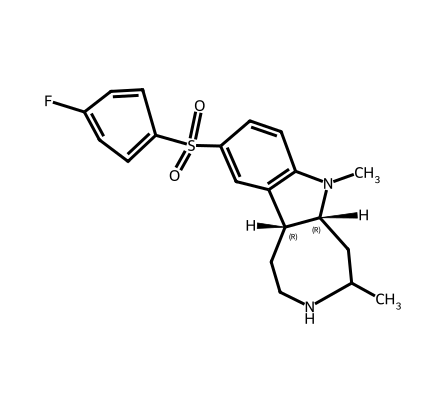 CC1C[C@@H]2[C@H](CCN1)c1cc(S(=O)(=O)c3ccc(F)cc3)ccc1N2C